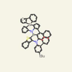 CC(C)(C)c1ccc(N2c3cc4ccccc4c4c3B(c3sc5ccccc5c32)N2c3ccccc3[Si]3(c5ccccc5-c5ccccc53)c3cccc-4c32)c(-c2ccccc2)c1